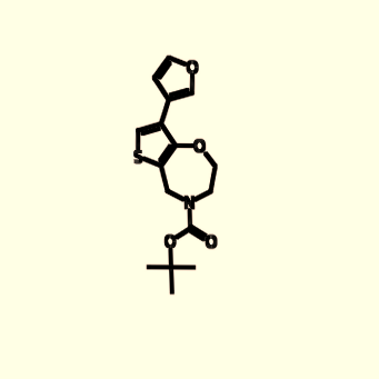 CC(C)(C)OC(=O)N1CCOc2c(-c3ccoc3)csc2C1